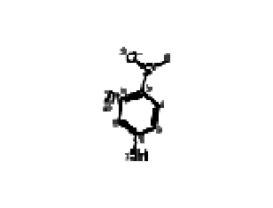 C[S+]([O-])c1ccc(S)cc1.[Zn]